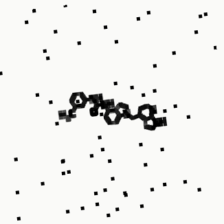 Cc1cccc(NC(=O)Nc2cccc3c2ccn3Cc2ccnc3[nH]ccc23)c1